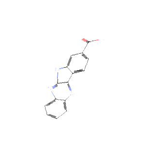 O=C(O)c1ccc2c(c1)[nH]c1nc3ccccc3nc12